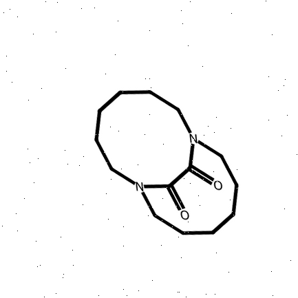 O=C1C(=O)N2CCCCCCN1CCCCCC2